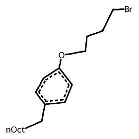 CCCCCCCCCc1ccc(OCCCCBr)cc1